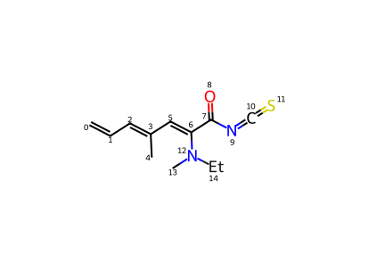 C=C/C=C(C)/C=C(/C(=O)N=C=S)N(C)CC